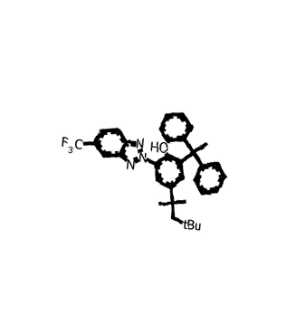 CC(C)(C)CC(C)(C)c1cc(-n2nc3ccc(C(F)(F)F)cc3n2)c(O)c(C(C)(c2ccccc2)c2ccccc2)c1